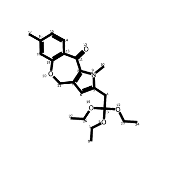 CCOC(Cc1cc2c(n1C)C(=O)c1ccc(C)cc1OC2)(OCC)OCC